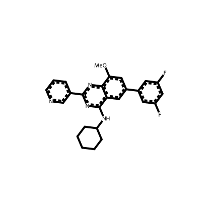 COc1cc(-c2cc(F)cc(F)c2)cc2c(NC3CCCCC3)nc(-c3cccnc3)nc12